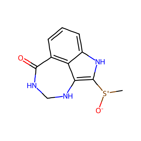 C[S+]([O-])c1[nH]c2cccc3c2c1NCNC3=O